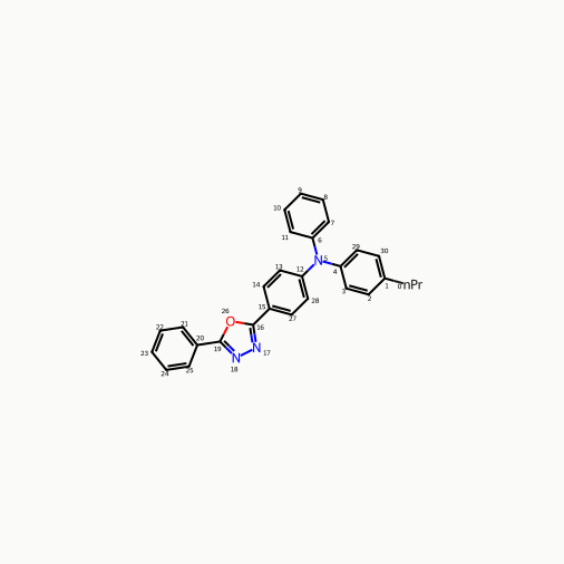 CCCc1ccc(N(c2ccccc2)c2ccc(-c3nnc(-c4ccccc4)o3)cc2)cc1